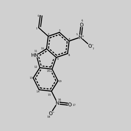 C=Cc1cc([N+](=O)[O-])cc2c1[nH]c1ccc([N+](=O)[O-])cc12